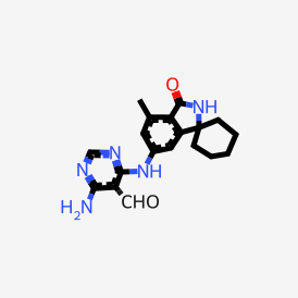 Cc1cc(Nc2ncnc(N)c2C=O)cc2c1C(=O)NC21CCCCC1